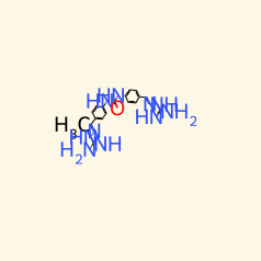 CC(=NNC(=N)N)c1ccc(NC(=O)Nc2ccc(C=NNC(=N)N)cc2)cc1